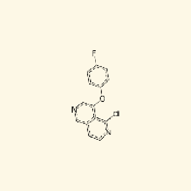 Fc1ccc(Oc2cncc3ccnc(Cl)c23)cc1